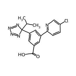 CC(C)C1(c2cc(C(=O)O)cc(-c3ccc(Cl)cn3)c2)N=NN=N1